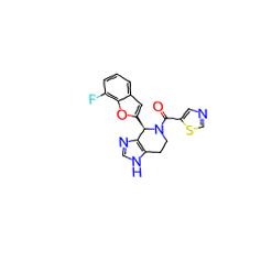 O=C(c1cncs1)N1CCc2[nH]cnc2[C@H]1c1cc2cccc(F)c2o1